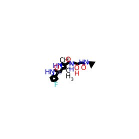 Cc1[nH]c(/C=C2\C(=O)Nc3ccc(F)cc32)c(C)c1C(=O)NCC(O)CC(=O)NC1CC1